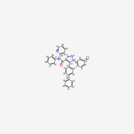 O=C(c1cnn(-c2cccc(Cl)c2)c1-c1ccc(-c2ccccc2)cc1)N(c1ccccc1)c1ccccn1